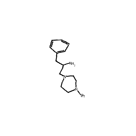 CC(C)N1CCN(CC(N)Cc2ccccc2)CC1